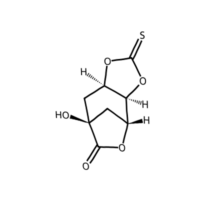 O=C1O[C@@H]2C[C@@]1(O)C[C@H]1OC(=S)O[C@@H]21